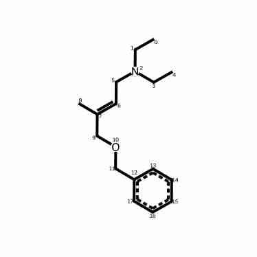 CCN(CC)CC=C(C)COCc1ccccc1